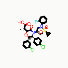 CC[C@@H](CN(c1ccccc1F)S(=O)(=O)C1CC1)N1C(=O)[C@H]([C@H](C)C(=O)O)O[C@H](c2cccc(Cl)c2)[C@H]1c1ccc(Cl)cc1